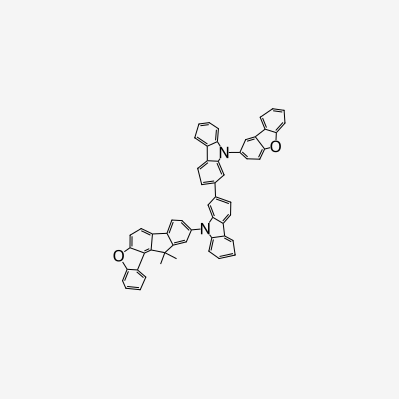 CC1(C)c2cc(-n3c4ccccc4c4ccc(-c5ccc6c7ccccc7n(-c7ccc8oc9ccccc9c8c7)c6c5)cc43)ccc2-c2ccc3oc4ccccc4c3c21